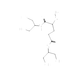 CC(C)(C)NC(CCC(=O)NC(CO)CO)C(=O)NC(CO)CO